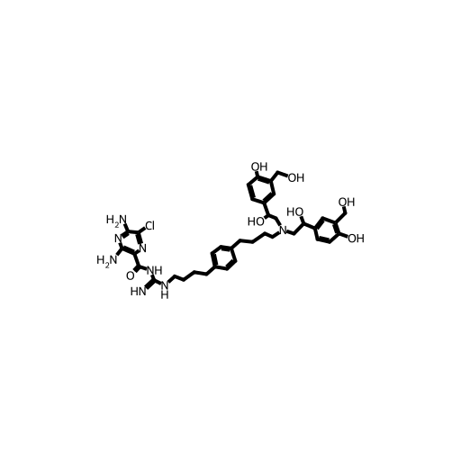 N=C(NCCCCc1ccc(CCCCN(CC(O)c2ccc(O)c(CO)c2)CC(O)c2ccc(O)c(CO)c2)cc1)NC(=O)c1nc(Cl)c(N)nc1N